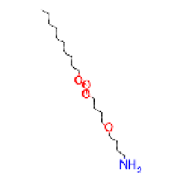 CCCCCCCCCCOOOCCCCOCCCCN